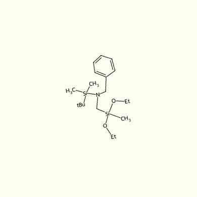 CCO[Si](C)(CN(Cc1ccccc1)[Si](C)(C)C(C)(C)C)OCC